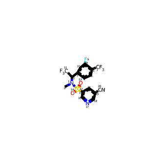 CN(C(c1ccc(C(F)(F)F)c(F)c1)C(F)(F)F)S(=O)(=O)c1cncc(C#N)c1